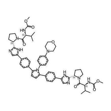 COC(=O)N[C@H](C(=O)N1CCC[C@H]1c1ncc(-c2ccc(-c3ccc(-c4ccc(-c5cnc([C@@H]6CCCN6C(=O)[C@@H](NC(=O)OC)C(C)C)[nH]5)cc4)n3-c3ccc(N4CCOCC4)cc3)cc2)[nH]1)C(C)C